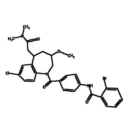 COC1CC(CC(=O)N(C)C)c2cc(Cl)ccc2N(C(=O)c2ccc(NC(=O)c3ccccc3Br)cc2)C1